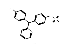 O=S(=O)([O-])Oc1ccc(C(c2ccc(O)cc2)c2ccccn2)cc1.[Na+]